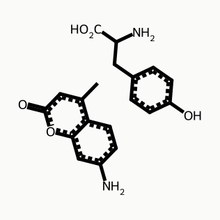 Cc1cc(=O)oc2cc(N)ccc12.NC(Cc1ccc(O)cc1)C(=O)O